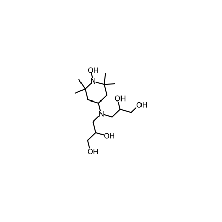 CC1(C)CC(N(CC(O)CO)CC(O)CO)CC(C)(C)N1O